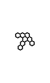 c1ccc2cc3c(cc2c1)c1c2ccccc2cc2ccc4cc5ccccc5c3c4c21